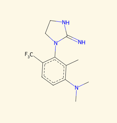 Cc1c(N(C)C)ccc(C(F)(F)F)c1N1CCNC1=N